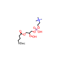 CCCCCCCCCCCCCC(=O)OCC(COP(=O)(O)OCC[N+](C)(C)C)OO